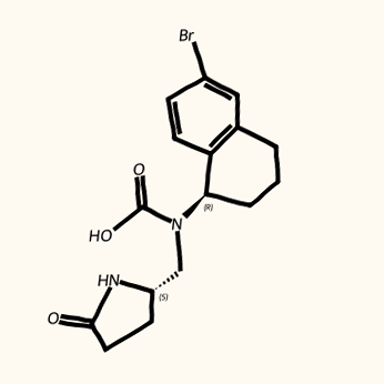 O=C1CC[C@@H](CN(C(=O)O)[C@@H]2CCCc3cc(Br)ccc32)N1